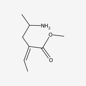 CC=C(CC(C)N)C(=O)OC